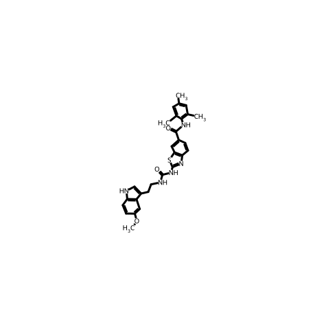 COc1ccc2[nH]cc(CCNC(=O)Nc3nc4ccc(C(=O)Nc5c(C)cc(C)cc5C)cc4s3)c2c1